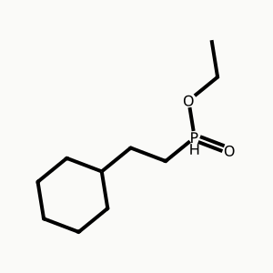 CCO[PH](=O)CCC1CCCCC1